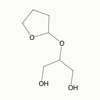 OCC(CO)OC1CCCO1